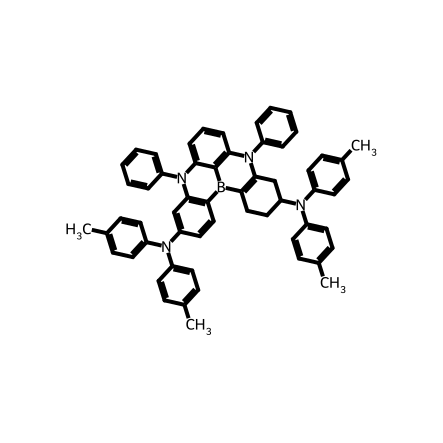 Cc1ccc(N(c2ccc(C)cc2)c2ccc3c(c2)N(c2ccccc2)c2cccc4c2B3C2=C(CC(N(c3ccc(C)cc3)c3ccc(C)cc3)CC2)N4c2ccccc2)cc1